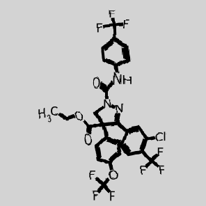 CCOC(=O)C1(c2ccc(OC(F)(F)F)cc2)CN(C(=O)Nc2ccc(C(F)(F)F)cc2)N=C1c1ccc(C(F)(F)F)c(Cl)c1